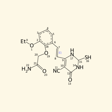 CCOc1cccc(/C=C/C2=C(C#N)C(=O)NC(S)N2)c1OCC(N)=O